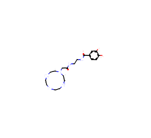 O=C(CN1CCNCCNCCNCC1)NCCNC(=O)c1ccc(O)c(O)c1